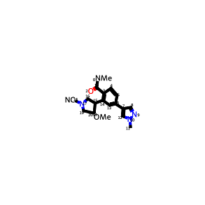 CNC(=O)c1ccc(-c2cnn(C)c2)cc1C1CN(C#N)CC1OC